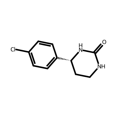 O=C1NCC[C@H](c2ccc(Cl)cc2)N1